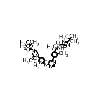 Cc1cc(-c2cc(Nc3ccc(N4CCN(C(=O)OC(C)(C)C)C[C@@H]4C(C)C)cn3)ncn2)ccc1[C@@H](C)NC(=O)c1nc(C(C)(C)C)no1